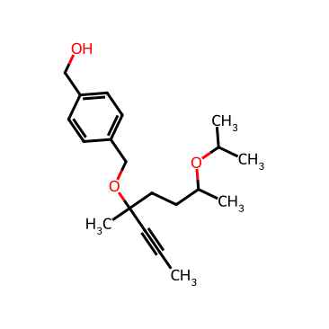 CC#CC(C)(CCC(C)OC(C)C)OCc1ccc(CO)cc1